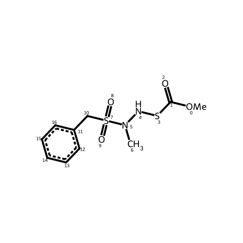 COC(=O)SNN(C)S(=O)(=O)Cc1ccccc1